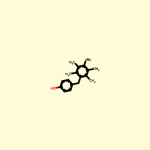 CCCCc1c(C)c(C)c(Cc2ccc(O)cc2)c(C)c1C